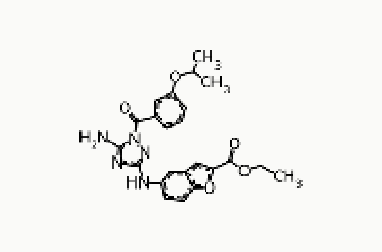 CCOC(=O)c1cc2cc(Nc3nc(N)n(C(=O)c4cccc(OC(C)C)c4)n3)ccc2o1